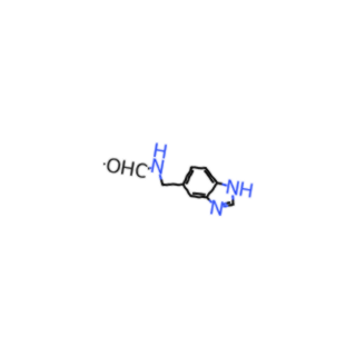 O=[C]NCc1ccc2[nH]cnc2c1